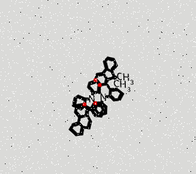 CC1(C)c2ccccc2-c2cccc(-c3ccccc3N(c3cccc(-c4cccc5c4ccc4ccccc45)c3)c3ccccc3-n3c4ccccc4c4ccccc43)c21